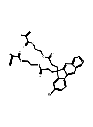 C=C(C)C(=O)OCCOC(=O)CCC1(CCC(=O)OCCOC(=O)C(=C)C)c2cc(Br)ccc2-c2cc3ccccc3cc21